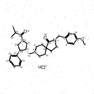 COc1ccc(CN2CCC3(CCN(C[C@H]4CN(C(=O)C(C)C)C[C@@H]4c4ccccc4)CC3)C2=O)cc1.Cl